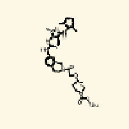 Cc1cccc(C)c1Nc1nn(C)c2nc(Nc3ccc4c(c3)CN(C(=O)COC3CCN(C(=O)OC(C)(C)C)CC3)CC4)ncc12